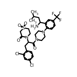 CC(C)CC(N)c1cc(C(F)(F)F)ccc1N1CCN(C(=O)C(Cc2ccc(Cl)cc2Cl)N2CCS(=O)(=O)CC2=O)CC1